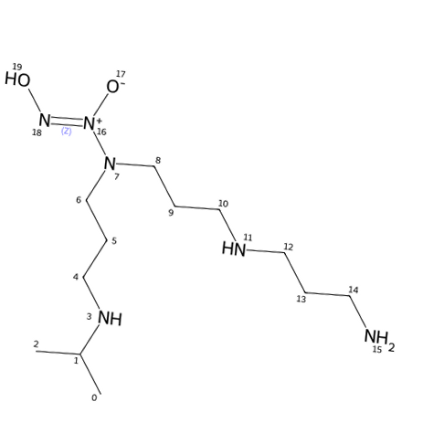 CC(C)NCCCN(CCCNCCCN)/[N+]([O-])=N/O